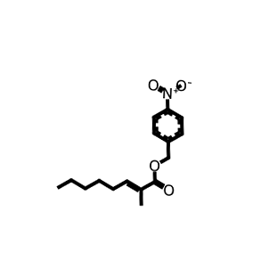 CCCCCC=C(C)C(=O)OCc1ccc([N+](=O)[O-])cc1